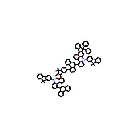 CC1(C)c2ccccc2-c2ccc(N(c3ccc4c(c3)C(C)(C)c3ccc(-c5cccc6c(-c7cccc(N(c8ccc9c(c8)C(C)(C)c8ccccc8-9)c8ccc9c(c8)C(c8ccccc8)(c8ccccc8)c8ccccc8-9)c7-c7ccccc7)cc7ccccc7c56)cc3-4)c3cccc(-c4cc5ccccc5c5ccccc45)c3-c3ccccc3)cc21